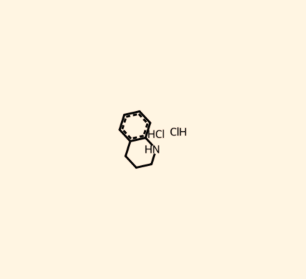 Cl.Cl.c1ccc2c(c1)CCCN2